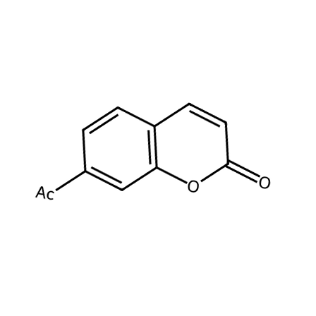 CC(=O)c1ccc2ccc(=O)oc2c1